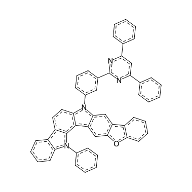 c1ccc(-c2cc(-c3ccccc3)nc(-c3cccc(-n4c5cc6c(cc5c5c4ccc4c7ccccc7n(-c7ccccc7)c45)oc4ccccc46)c3)n2)cc1